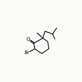 CC(C)CC1(C)CCCC(Br)C1=O